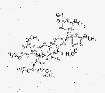 COc1cc(OC)cc(N(C2=CC(C)(C)C(c3ccc(N(c4cc(OC)cc(OC)c4)c4cc(OC)cc(OC)c4)cc3)C=C2)c2cc(OC)cc(OC)c2)c1